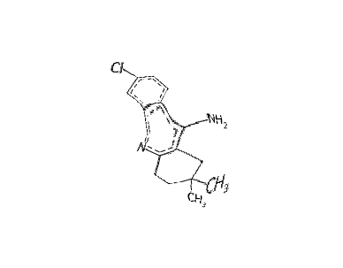 CC1(C)CCc2nc3cc(Cl)ccc3c(N)c2C1